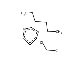 CCCCCC.ClCCl.c1ccncc1